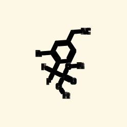 [C-]#[N+]Cc1ccc(C(F)(F)P(=O)(OCC)OCC)c(Br)c1